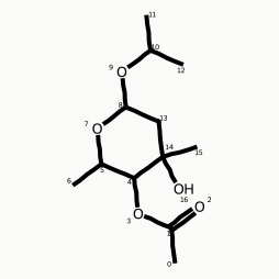 CC(=O)OC1C(C)OC(OC(C)C)CC1(C)O